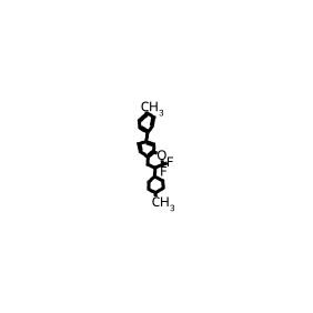 Cc1ccc(-c2ccc3c(c2)OC(F)(F)C(C2CCC(C)CC2)C3)cc1